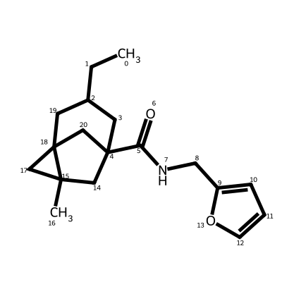 CCC1CC2(C(=O)NCc3ccco3)CC3(C)CC3(C1)C2